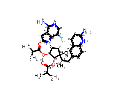 CC(C)C(=O)O[C@H]1[C@H](n2ccc3c(N)ncc(F)c32)C[C@](C)([C@@H](C)Cc2ccc3nc(N)ccc3c2)[C@H]1OC(=O)C(C)C